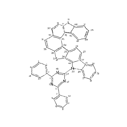 c1ccc(-c2nc(-c3ccccc3)nc(-n3c4ccccc4c4ccc5c(sc6ccc7ccc8sc9ccccc9c8c7c65)c43)n2)cc1